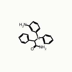 NC(=O)C(c1ccccc1)N(c1ccccc1)c1cccc(N)c1